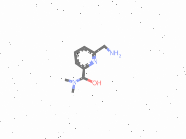 CN(C)C(O)c1cccc(CN)n1